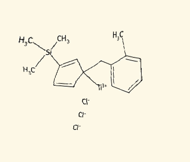 Cc1ccccc1C[C]1([Ti+3])C=CC([Si](C)(C)C)=C1.[Cl-].[Cl-].[Cl-]